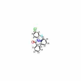 O=C(Nc1ccc(Cl)cc1)c1ccccc1-c1cccc(F)c1